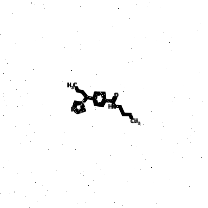 CCCCNC(=O)c1ccc(C(CCC)n2ccnc2)cc1